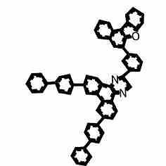 c1ccc(-c2ccc(-c3ccc4c(c3)c3cc(-c5ccc(-c6ccccc6)cc5)ccc3c3nc(-c5cccc(-c6cc7ccccc7c7c6oc6ccccc67)c5)cnc43)cc2)cc1